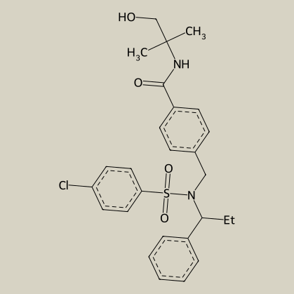 CCC(c1ccccc1)N(Cc1ccc(C(=O)NC(C)(C)CO)cc1)S(=O)(=O)c1ccc(Cl)cc1